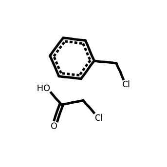 ClCc1ccccc1.O=C(O)CCl